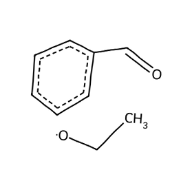 CC[O].O=Cc1ccccc1